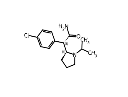 CC(C)N1CCC[C@H]1[C@@H](C(N)=O)c1ccc(Cl)cc1